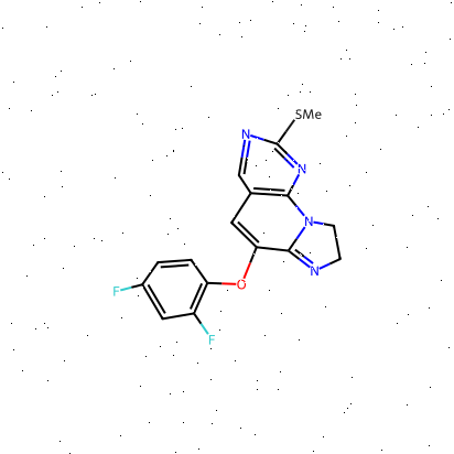 CSc1ncc2c(n1)N1CCN=C1C(Oc1ccc(F)cc1F)=C2